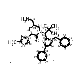 Cc1nnn(CC(=O)N(C[C@@H](F)CN)[C@@H](c2nc(-c3ccccc3)cn2Cc2ccccc2)C(C)(C)C)n1